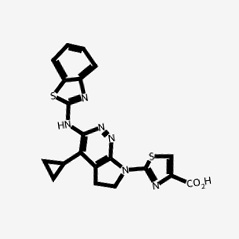 O=C(O)c1csc(N2CCc3c2nnc(Nc2nc4ccccc4s2)c3C2CC2)n1